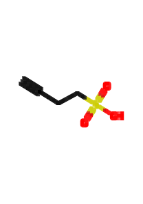 C#CCCS(=O)(=O)O